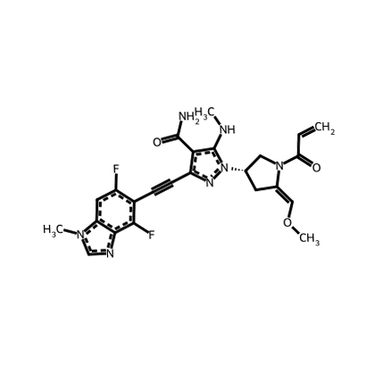 C=CC(=O)N1C[C@@H](n2nc(C#Cc3c(F)cc4c(ncn4C)c3F)c(C(N)=O)c2NC)C/C1=C\OC